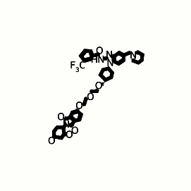 O=C1CCC(N2C(=O)c3ccc(OCCOCCOC[C@H]4CC[C@@H](n5c(NC(=O)c6cccc(C(F)(F)F)c6)nc6cc(CN7CCCCC7)ccc65)CC4)cc3C2=O)C(=O)C1